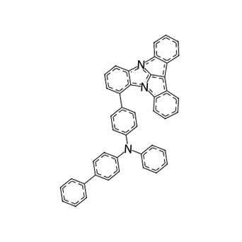 c1ccc(-c2ccc(N(c3ccccc3)c3ccc(-c4cccc5c4n4c6ccccc6c6c7ccccc7n5c64)cc3)cc2)cc1